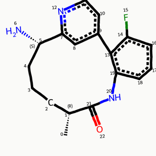 C[C@@H]1CCC[C@H](N)c2cc(ccn2)-c2c(F)cccc2NC1=O